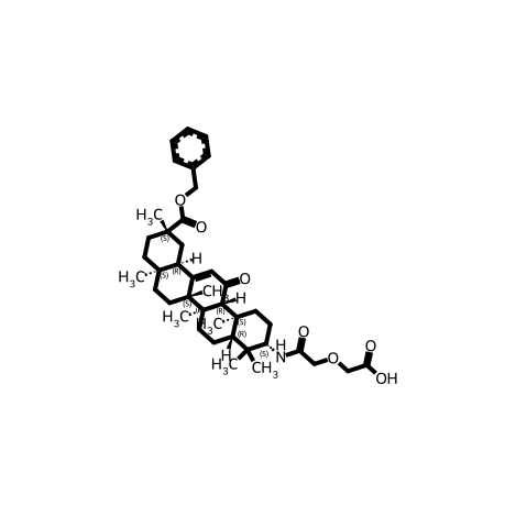 CC1(C)[C@@H](NC(=O)COCC(=O)O)CC[C@]2(C)[C@H]3C(=O)C=C4[C@@H]5C[C@@](C)(C(=O)OCc6ccccc6)CC[C@]5(C)CC[C@@]4(C)[C@]3(C)CC[C@@H]12